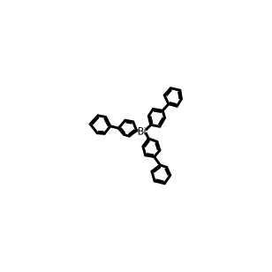 c1ccc(-c2cc[c]([Bi]([c]3ccc(-c4ccccc4)cc3)[c]3ccc(-c4ccccc4)cc3)cc2)cc1